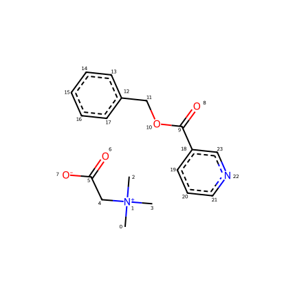 C[N+](C)(C)CC(=O)[O-].O=C(OCc1ccccc1)c1cccnc1